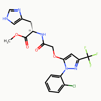 COC(=O)[C@H](Cc1c[nH]cn1)NC(=O)COc1cc(C(F)(F)F)nn1-c1ccccc1Cl